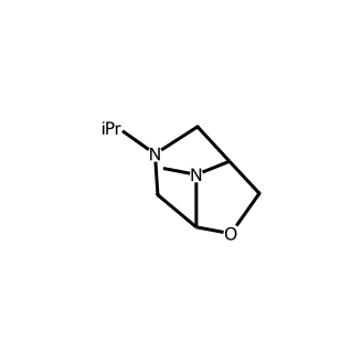 CC(C)N1CC2COC(C1)N2C